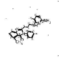 Cc1cccc2nc(CCCNc3nc(N)ncc3I)n(-c3ccccc3)c(=O)c12